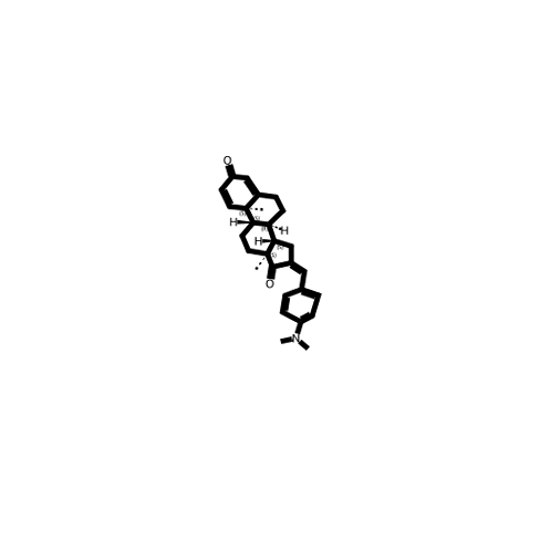 CN(C)c1ccc(C=C2C[C@H]3[C@@H]4CCC5=CC(=O)C=C[C@]5(C)[C@H]4CC[C@]3(C)C2=O)cc1